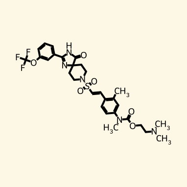 Cc1cc(N(C)C(=O)OCCN(C)C)ccc1C=CS(=O)(=O)N1CCC2(CC1)N=C(c1cccc(OC(F)(F)F)c1)NC2=O